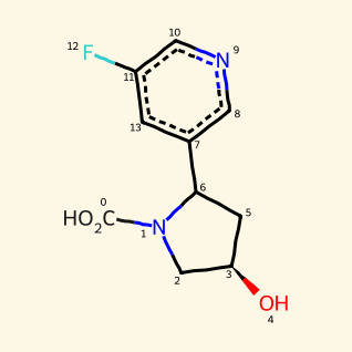 O=C(O)N1C[C@H](O)CC1c1cncc(F)c1